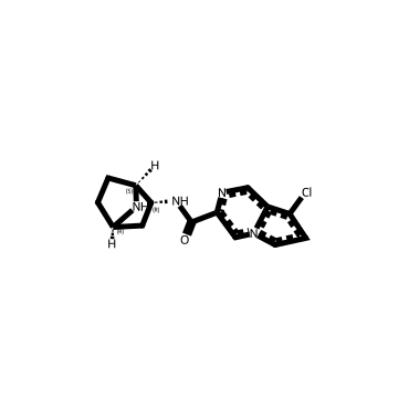 O=C(N[C@@H]1C[C@H]2CC[C@@H]1N2)c1cn2ccc(Cl)c2cn1